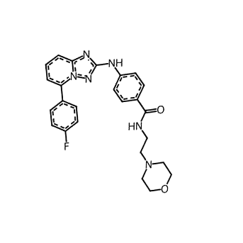 O=C(NCCN1CCOCC1)c1ccc(Nc2nc3cccc(-c4ccc(F)cc4)n3n2)cc1